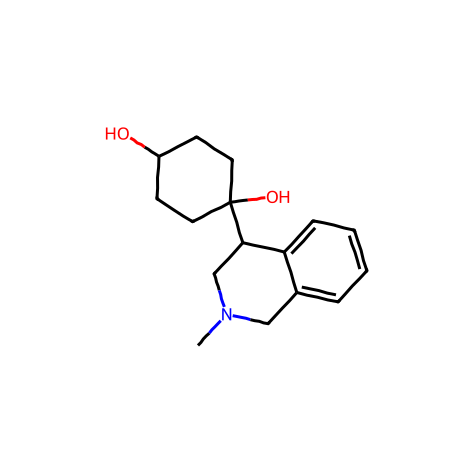 CN1Cc2ccccc2C(C2(O)CCC(O)CC2)C1